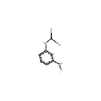 CC(C)Oc1c[c]cc(OC(F)F)c1